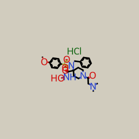 COc1ccc(S(=O)(=O)N(Cc2ccccc2)C2(C(=O)NO)CCN(C(=O)CN(C)C)CC2)cc1.Cl